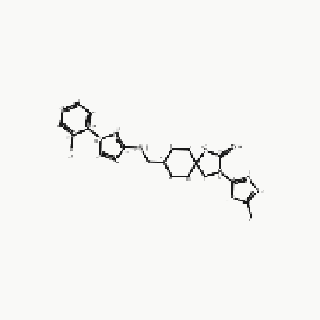 Cc1nnc(N2CC3(CCC(CNc4ccn(-c5ccccc5F)n4)CC3)OC2=O)s1